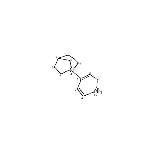 C1=CC([N+]23CCC(CC2)C3)=CCN1